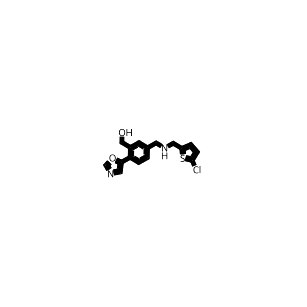 OCc1cc(CNCc2ccc(Cl)s2)ccc1-c1cnco1